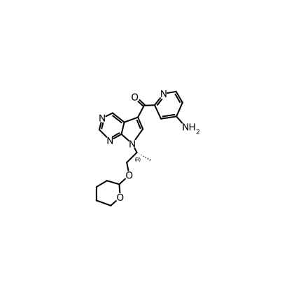 C[C@H](COC1CCCCO1)n1cc(C(=O)c2cc(N)ccn2)c2cncnc21